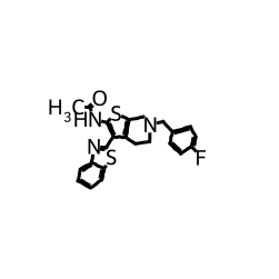 CC(=O)Nc1sc2c(c1-c1nc3ccccc3s1)CCN(Cc1ccc(F)cc1)C2